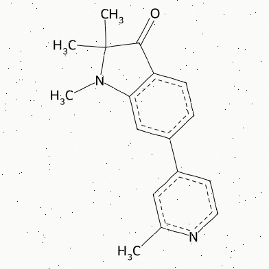 Cc1cc(-c2ccc3c(c2)N(C)C(C)(C)C3=O)ccn1